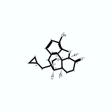 CC[C@@]12CCC(=O)[C@@H]3Oc4c(O)ccc5c4[C@@]31CCN(CC1CC1)[C@@H]2C5